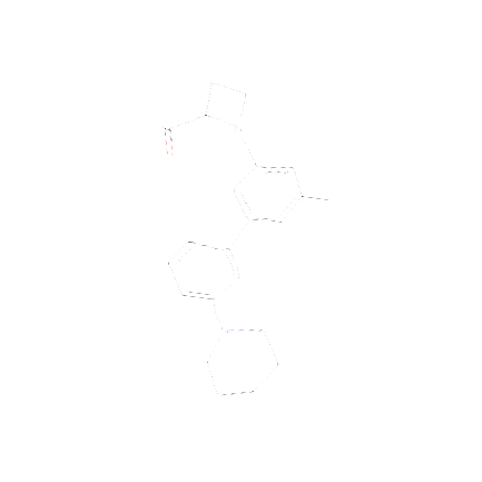 Cc1cc(-c2cccc(N3CCCCC3)c2)cc(N2CCC2C(=O)O)c1